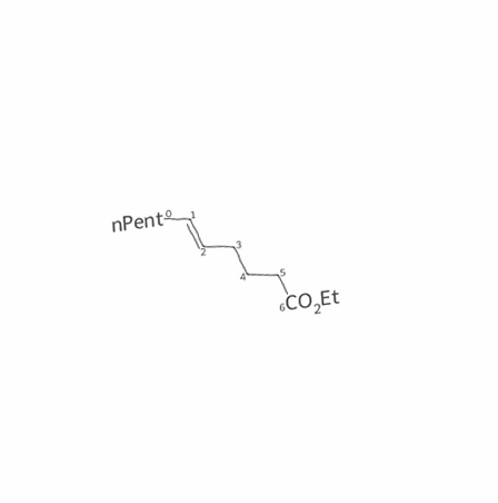 CCCCCC=CCCCC(=O)OCC